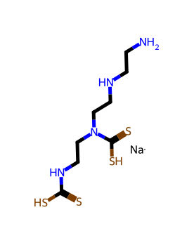 NCCNCCN(CCNC(=S)S)C(=S)S.[Na]